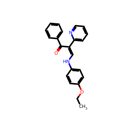 CCOc1ccc(NC=C(C(=O)c2ccccc2)c2ccccn2)cc1